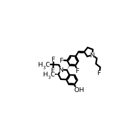 C[C@@H]1Cc2cc(O)ccc2[C@@H](c2c(F)cc(C=C3CCN(CCCF)C3)cc2F)N1CC(C)(F)F